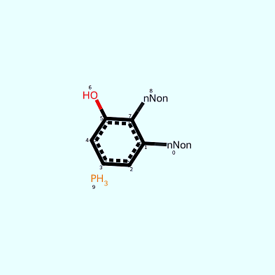 CCCCCCCCCc1cccc(O)c1CCCCCCCCC.P